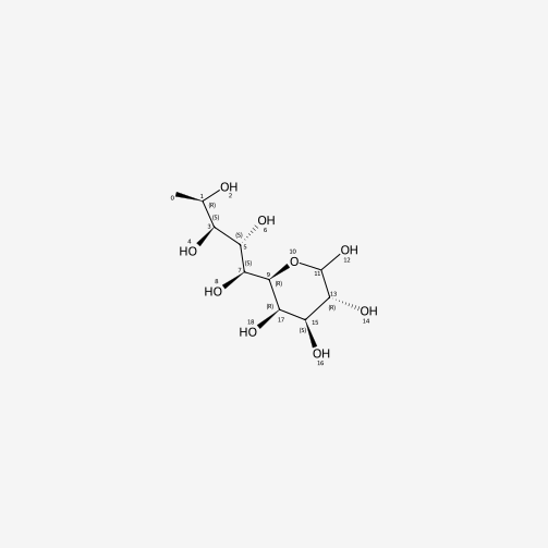 C[C@@H](O)[C@H](O)[C@H](O)[C@H](O)[C@H]1OC(O)[C@H](O)[C@@H](O)[C@H]1O